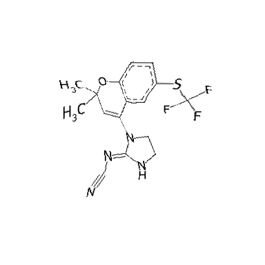 CC1(C)C=C(N2CCNC2=NC#N)c2cc(SC(F)(F)F)ccc2O1